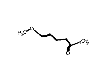 COCCCCC(C)=O